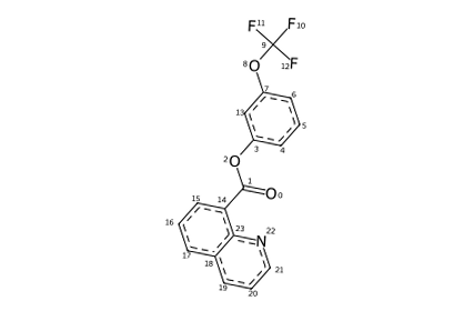 O=C(Oc1cccc(OC(F)(F)F)c1)c1cccc2cccnc12